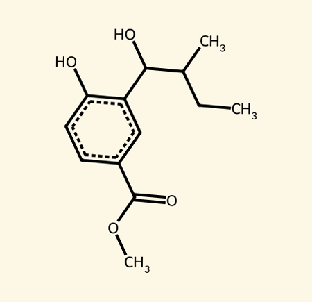 CCC(C)C(O)c1cc(C(=O)OC)ccc1O